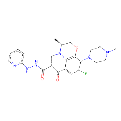 C[C@H]1COC2=C3C(=CC(F)C2N2CCN(C)CC2)C(=O)C(C(=O)NNc2ccccn2)CN31